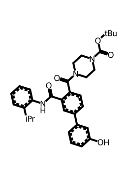 CC(C)c1ccccc1NC(=O)c1cc(-c2cccc(O)c2)ccc1C(=O)N1CCN(C(=O)OC(C)(C)C)CC1